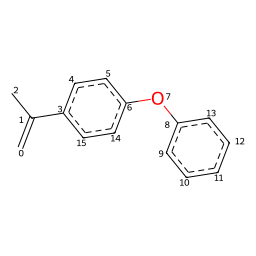 C=C(C)c1ccc(Oc2ccccc2)cc1